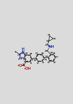 Cc1nc2c(C(=O)O)cc(-c3ccc(-c4ccccc4CNCC4CC4)cc3)cc2[nH]1